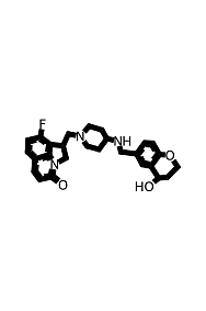 O=c1ccc2ccc(F)c3c2n1CC3CN1CCC(NCc2ccc3c(c2)C(O)CCO3)CC1